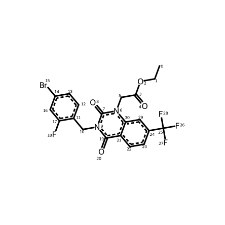 CCOC(=O)Cn1c(=O)n(Cc2ccc(Br)cc2F)c(=O)c2ccc(C(F)(F)F)cc21